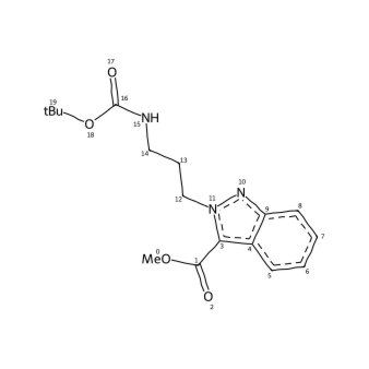 COC(=O)c1c2ccccc2nn1CCCNC(=O)OC(C)(C)C